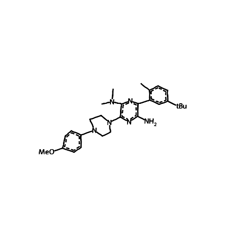 COc1ccc(N2CCN(c3nc(N)c(-c4cc(C(C)(C)C)ccc4C)nc3N(C)C)CC2)cc1